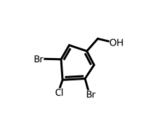 OCc1cc(Br)c(Cl)c(Br)c1